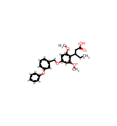 CCC(CC(=O)O)c1c(OC)cc(OCc2cccc(Oc3ccccc3)c2)cc1OC